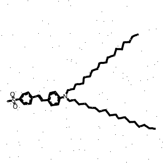 CCCCCCCCCCCCCCCCCCN(CCCCCCCCCCCCCCCCCC)c1ccc(/C=C/c2ccc(S(C)(=O)=O)cc2)cc1